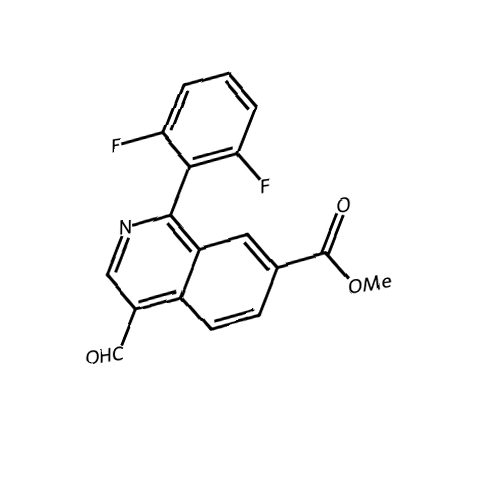 COC(=O)c1ccc2c(C=O)cnc(-c3c(F)cccc3F)c2c1